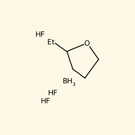 B.CCC1CCCO1.F.F.F